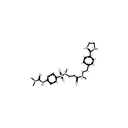 CN(C)C(=O)Nc1ccc(S(=O)(=O)N(C)CCC(=O)N(C)CCc2ccc(C3=NCCN3)cc2)cc1